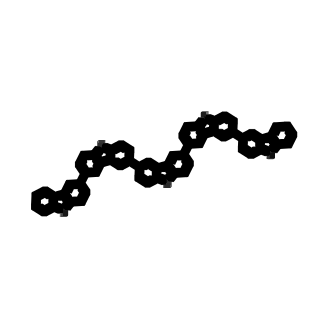 c1ccc2c(c1)sc1ccc(-c3ccc4sc5ccc(-c6ccc7sc8ccc(-c9ccc%10sc%11ccc(-c%12ccc%13sc%14ccccc%14c%13c%12)cc%11c%10c9)cc8c7c6)cc5c4c3)cc12